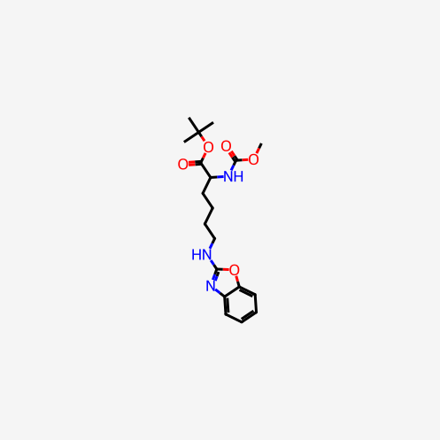 COC(=O)NC(CCCCNc1nc2ccccc2o1)C(=O)OC(C)(C)C